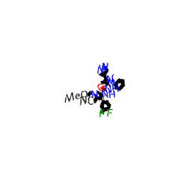 COCCN1C[C@@H](NC(=O)Nc2c(C)c(-c3cnn(C)c3)nn2-c2ccccc2)[C@H](c2ccc(F)c(F)c2)C1CC#N